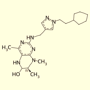 Cc1nc(NCc2cnn(CCC3CCCCC3)c2)nc2c1NC(O)[C@H](C)N2C